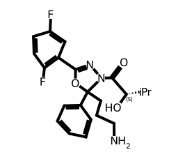 CC(C)[C@H](O)C(=O)N1N=C(c2cc(F)ccc2F)OC1(CCCN)c1ccccc1